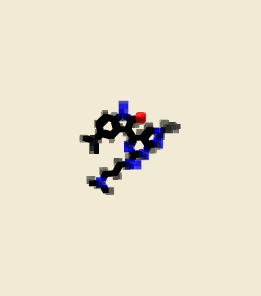 CBc1ccc2c(c1)C(c1nc(NCCCN(C)C)nc3nn(CCC)cc13)C(=O)N2